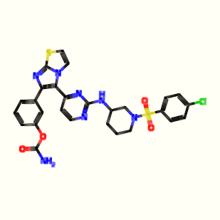 NC(=O)Oc1cccc(-c2nc3sccn3c2-c2ccnc(NC3CCCN(S(=O)(=O)c4ccc(Cl)cc4)C3)n2)c1